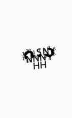 S=C(Nc1ccccn1)Nc1ccccn1